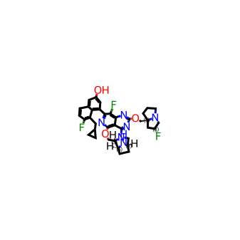 Oc1cc(-c2nc3c4c(nc(OC[C@@]56CCCN5C[C@H](F)C6)nc4c2F)N2C[C@H]4CC[C@H](N4)[C@H]2CO3)c2c(CC3CC3)c(F)ccc2c1